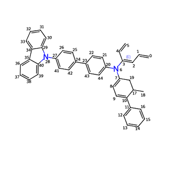 C=C/C=C(\C=C)N(C1=CC=C(c2ccccc2)C(C)C1)c1ccc(-c2ccc(-n3c4ccccc4c4ccccc43)cc2)cc1